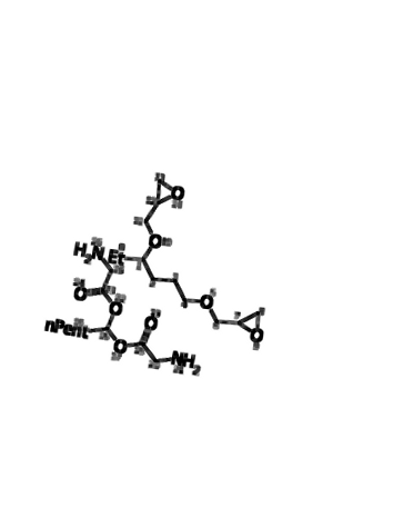 CCC(CCCOCC1CO1)OCC1CO1.CCCCCC(OC(=O)CN)OC(=O)CN